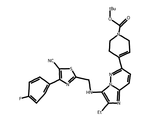 CCc1nc2ccc(C3=CCN(C(=O)OC(C)(C)C)CC3)nn2c1NCc1nc(-c2ccc(F)cc2)c(C#N)s1